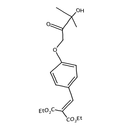 CCOC(=O)C(=Cc1ccc(OCC(=O)C(C)(C)O)cc1)C(=O)OCC